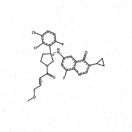 COC/C=C/C(=O)N1CC[C@@](Nc2cc(F)c3ncn(C4CC4)c(=O)c3c2)(c2c(F)ccc(Cl)c2Cl)C1